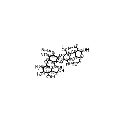 CC(=O)NC1C(O)O[C@@H](CO)[C@@H](O[C@@H]2OC(CO)[C@@H](O[C@@H]3O[C@@H](CO)[C@@H](O[C@@H]4OC(CO)[C@@H](O)C(O)C4N)C(O)C3NC(C)=O)C(O)C2NC(C)=O)C1O